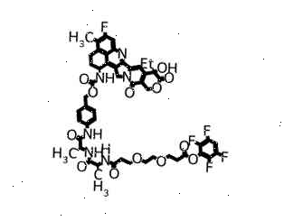 CC[C@@]1(O)C(=O)OCc2c1cc1n(c2=O)Cc2c-1nc1cc(F)c(C)c3c1c2[C@@H](NC(=O)OCc1ccc(NC(=O)[C@H](C)NC(=O)[C@H](C)NC(=O)CCOCCOCCC(=O)Oc2c(F)c(F)cc(F)c2F)cc1)CC3